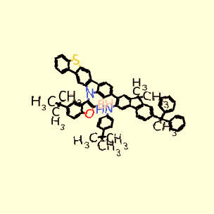 CC(C)(C)c1ccc(Nc2cc3c(cc2-c2ccc4c5cc6sc7ccccc7c6cc5n5c4c2Bc2oc4ccc(C(C)(C)C)cc4c2-5)C(C)(C)c2cc(C(C)(c4ccccc4)c4ccccc4)ccc2-3)cc1